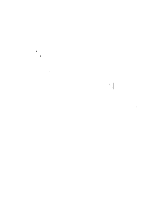 NC(=O)[C@@H]1CCCN(C(=O)c2ccccc2)C1